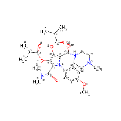 COc1ccc(-n2c(C(=O)N(C)C)c(OC(=O)C(C)C)c(OC(=O)C(C)C)c2C(=O)N2CCN(C)CC2)cc1